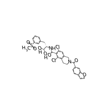 CS(=O)(=O)c1cccc(C[C@H](NC(=O)c2c(Cl)cc3c(c2Cl)CCN(C(=O)c2ccc4ccoc4c2)C3)C(O)O)c1